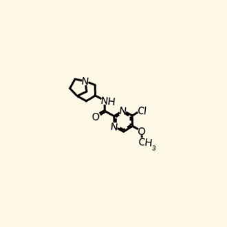 COc1cnc(C(=O)NC2CC3CCN(C3)C2)nc1Cl